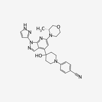 C[C@@H]1COCCN1c1cc(C2(O)CCN(c3ccc(C#N)cc3)CC2)c2cnn(-c3cc[nH]n3)c2n1